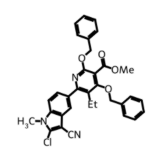 CCc1c(-c2ccc3c(c2)c(C#N)c(Cl)n3C)nc(OCc2ccccc2)c(C(=O)OC)c1OCc1ccccc1